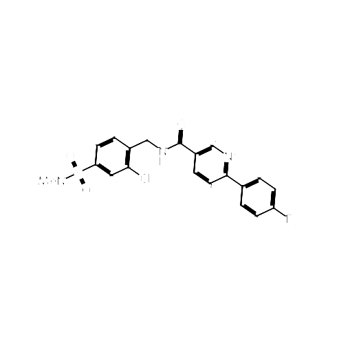 CNS(=O)(=O)c1ccc(CNC(=O)c2ccc(-c3ccc(F)cc3)nc2)c(Cl)c1